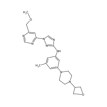 COCc1cc(-n2cnc(Nc3cc(C)cc(N4CCN(C5COC5)CC4)c3)n2)ncn1